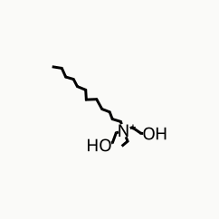 CCCCCCCCCCCC[N+](CC)(CCO)CCO